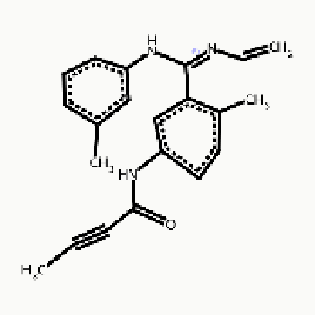 C=C/N=C(/Nc1cccc(C)c1)c1cc(NC(=O)C#CC)ccc1C